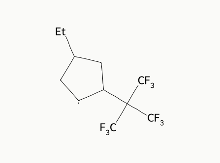 [CH2]CC1C[CH]C(C(C(F)(F)F)(C(F)(F)F)C(F)(F)F)C1